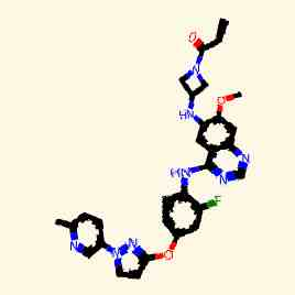 C=CC(=O)N1CC(Nc2cc3c(Nc4ccc(Oc5ccn(-c6ccc(C)nc6)n5)cc4F)ncnc3cc2OC)C1